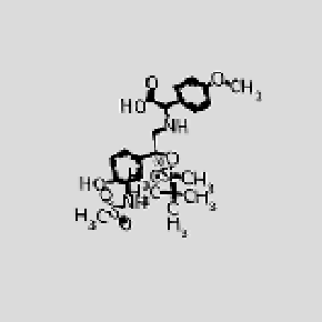 COc1ccc(C(NC[C@@H](O[Si](C)(C)C(C)(C)C)c2ccc(O)c(NS(C)(=O)=O)c2)C(=O)O)cc1